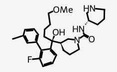 COCCCC[C@@](O)(c1cccc(F)c1-c1cccc(C)c1)[C@@H]1CCCN(C(=O)N[C@H]2CCCNC2)C1